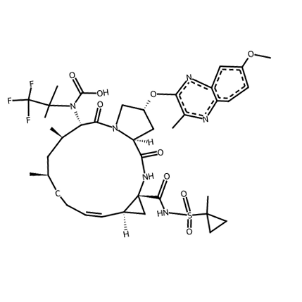 COc1ccc2nc(C)c(O[C@@H]3C[C@H]4C(=O)N[C@]5(C(=O)NS(=O)(=O)C6(C)CC6)C[C@H]5C=CCC[C@@H](C)C[C@@H](C)[C@H](N(C(=O)O)C(C)(C)C(F)(F)F)C(=O)N4C3)nc2c1